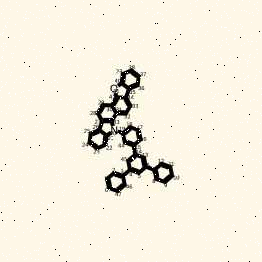 c1ccc(-c2cc(-c3ccccc3)cc(-c3cccc(-n4c5ccccc5c5ccc6c(ccc7c8ccccc8oc76)c54)c3)c2)cc1